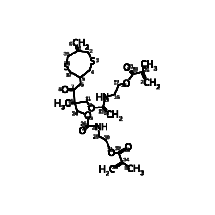 C=C1CSCC(CC(=O)C(C)(COC(=C)NCCOC(=O)C(=C)C)COC(=O)NCCOC(=O)C(=C)C)CSC1